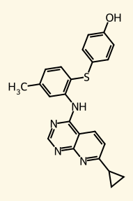 Cc1ccc(Sc2ccc(O)cc2)c(Nc2ncnc3nc(C4CC4)ccc23)c1